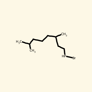 CC(C)CCCC(C)CCPBr